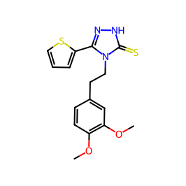 COc1ccc(CCn2c(-c3cccs3)n[nH]c2=S)cc1OC